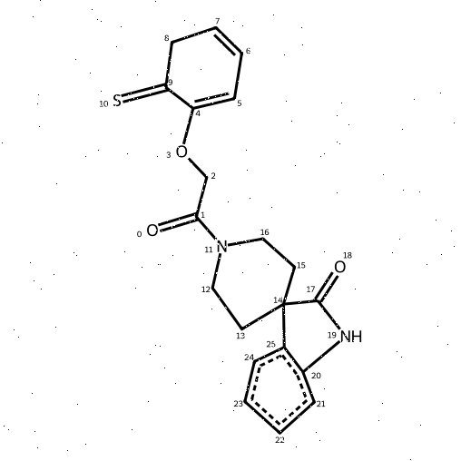 O=C(COC1=CC=CCC1=S)N1CCC2(CC1)C(=O)Nc1ccccc12